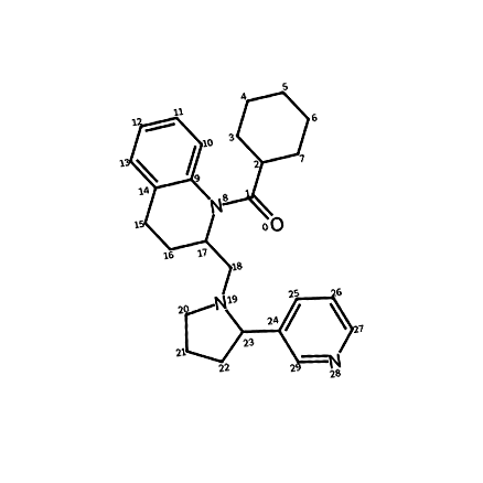 O=C(C1CCCCC1)N1c2ccccc2CCC1CN1CCCC1c1cccnc1